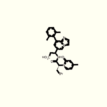 Cc1ccn([C@H](CC(C)C)C(=O)NC(CC(=O)O)c2cc(-c3c(C)cccc3C)c3nccn3c2)c(=O)c1